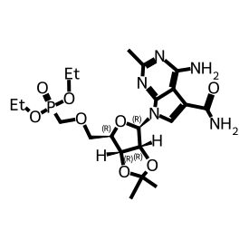 CCOP(=O)(COC[C@H]1O[C@@H](n2cc(C(N)=O)c3c(N)nc(C)nc32)[C@@H]2OC(C)(C)O[C@@H]21)OCC